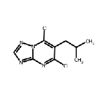 CC(C)Cc1c(Cl)nc2ncnn2c1Cl